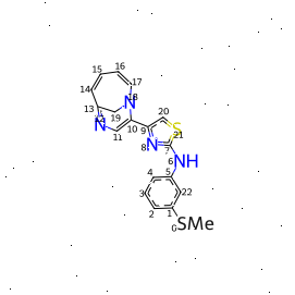 CSc1cccc(Nc2nc(C3=CN=C4C=CC=CN3C4)cs2)c1